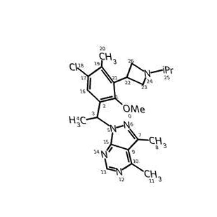 COc1c(C(C)n2nc(C)c3c(C)ncnc32)cc(Cl)c(C)c1C1CN(C(C)C)C1